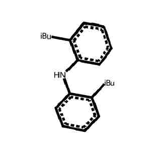 CCC(C)c1ccccc1Nc1ccccc1C(C)CC